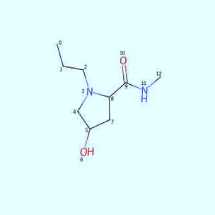 CCCN1CC(O)CC1C(=O)NC